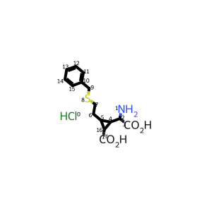 Cl.NC(C(=O)O)C1C(CCSCc2ccccc2)C1C(=O)O